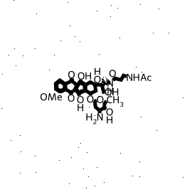 COc1cccc2c1C(=O)c1c(O)c3c(c(O)c1C2=O)CC(O)(/C(CO)=N/NC(=O)CCNC(C)=O)CC3OC1CC(N)C(O)C(C)O1